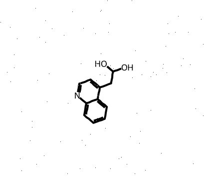 OC(O)Cc1ccnc2ccccc12